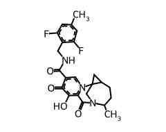 Cc1cc(F)c(CNC(=O)c2cn3c(c(O)c2=O)C(=O)N2CC34CC4CCC2C)c(F)c1